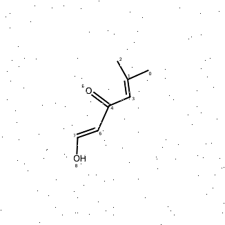 CC(C)=CC(=O)C=CO